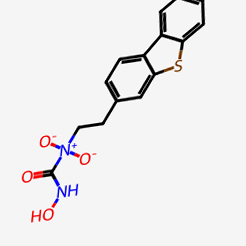 O=C(NO)[N+]([O-])([O-])CCc1ccc2c(c1)sc1ccccc12